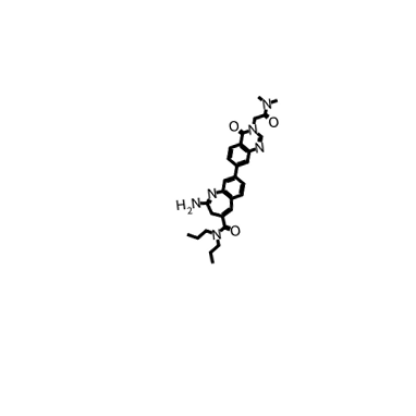 CCCN(CCC)C(=O)C1=Cc2ccc(-c3ccc4c(=O)n(CC(=O)N(C)C)cnc4c3)cc2N=C(N)C1